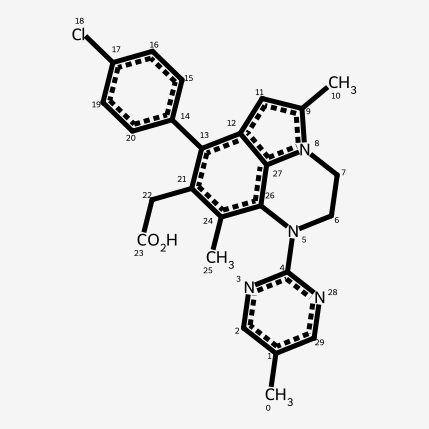 Cc1cnc(N2CCn3c(C)cc4c(-c5ccc(Cl)cc5)c(CC(=O)O)c(C)c2c43)nc1